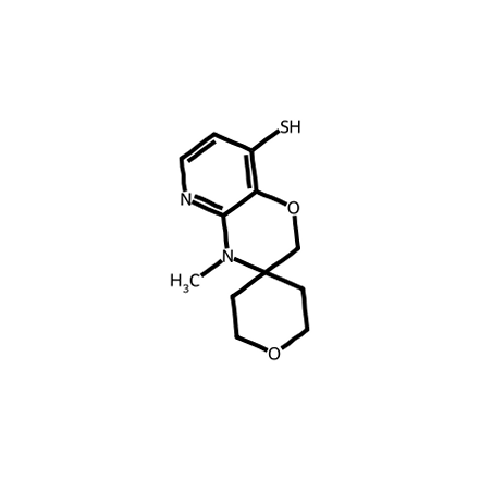 CN1c2nccc(S)c2OCC12CCOCC2